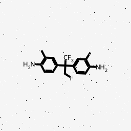 Cc1cc(C(CF)(c2ccc(N)c(C)c2)C(F)(F)F)ccc1N